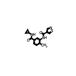 Cc1ccc(C(=O)NC2CC2)cc1NC(=O)c1cnsc1